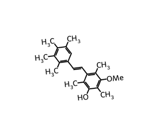 COc1c(C)c(O)c(C)c(/C=C/c2cc(C)c(C)c(C)c2C)c1C